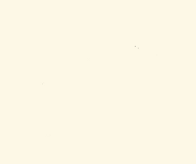 O=C(c1ccc(-c2cc(O)c3c(=O)cc(-c4ccccc4)oc3c2)cc1)N1CCSCC1